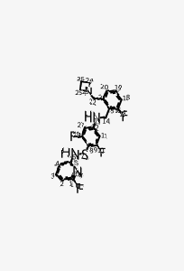 Fc1cccc(NSc2c(F)cc(NCc3c(F)cccc3CN3CCC3)cc2F)n1